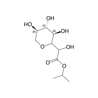 CC(C)OC(=O)C(O)C1OC[C@@H](O)[C@H](O)[C@H]1O